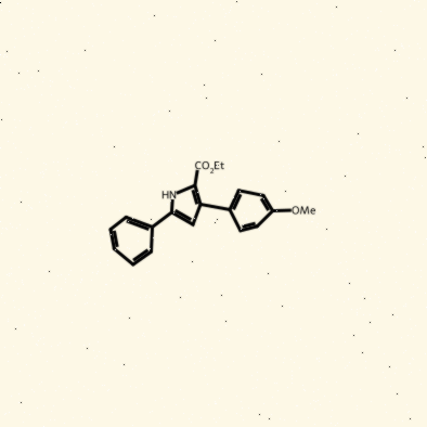 CCOC(=O)c1[nH]c(-c2ccccc2)cc1-c1ccc(OC)cc1